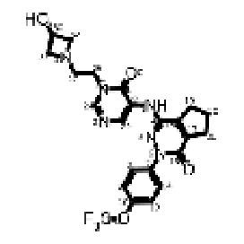 O=c1c(Nc2nn(-c3ccc(OC(F)(F)F)cc3)c(=O)c3c2CCC3)cncn1CCN1CC(O)C1